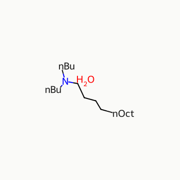 CCCCCCCCCCCCN(CCCC)CCCC.O